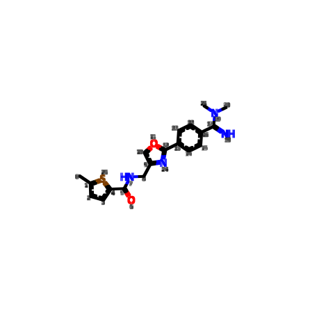 Cc1ccc(C(=O)NCc2coc(-c3ccc(C(=N)N(C)C)cc3)n2)s1